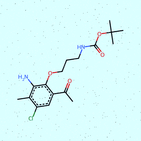 CC(=O)c1cc(Cl)c(C)c(N)c1OCCCNC(=O)OC(C)(C)C